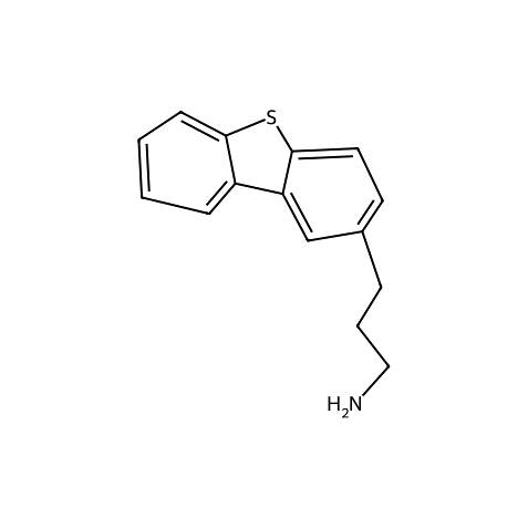 NCCCc1ccc2sc3ccccc3c2c1